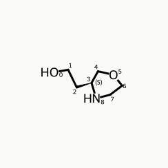 OCC[C@H]1COCCN1